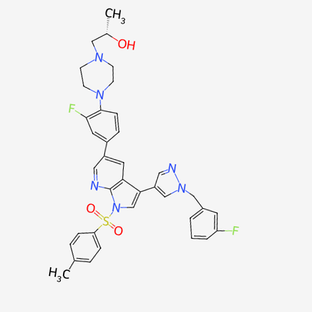 Cc1ccc(S(=O)(=O)n2cc(-c3cnn(Cc4cccc(F)c4)c3)c3cc(-c4ccc(N5CCN(C[C@H](C)O)CC5)c(F)c4)cnc32)cc1